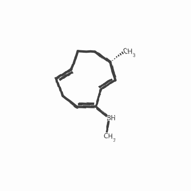 CBC1=C/C/C=C/CC[C@H](C)\C=C\1